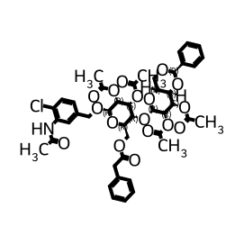 CC(=O)Nc1cc(CO[C@@H]2O[C@H](COC(=O)Cc3ccccc3)[C@@H](O[C@H]3O[C@@H]4CO[C@@H](c5ccccc5)O[C@H]4[C@H](OC(C)=O)[C@H]3OC(C)=O)[C@H](OC(C)=O)[C@H]2OC(C)=O)ccc1Cl